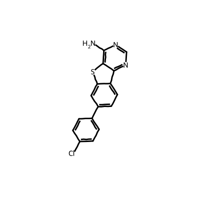 Nc1ncnc2c1sc1cc(-c3ccc(Cl)cc3)ccc12